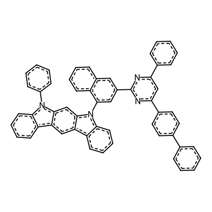 c1ccc(-c2ccc(-c3cc(-c4ccccc4)nc(-c4cc(-n5c6ccccc6c6cc7c8ccccc8n(-c8ccccc8)c7cc65)c5ccccc5c4)n3)cc2)cc1